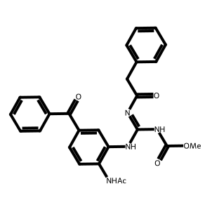 COC(=O)N/C(=N\C(=O)Cc1ccccc1)Nc1cc(C(=O)c2ccccc2)ccc1NC(C)=O